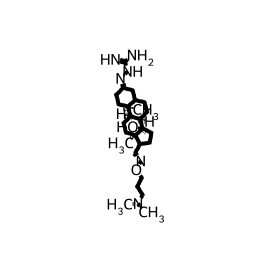 CN(C)CCCON=CC1CC[C@@]2(O)[C@@H]3CCC4CC(=NNC(=N)N)CC[C@]4(C)[C@@H]3CC[C@]12C